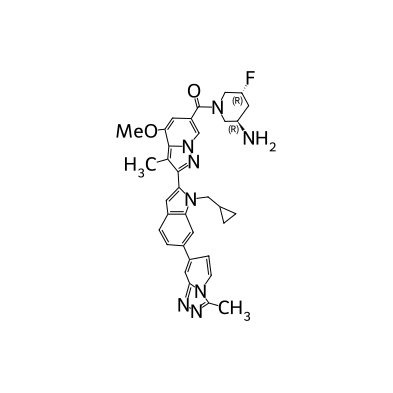 COc1cc(C(=O)N2C[C@H](N)C[C@@H](F)C2)cn2nc(-c3cc4ccc(-c5ccn6c(C)nnc6c5)cc4n3CC3CC3)c(C)c12